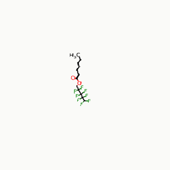 CCCCCCC(=O)OCC(F)(F)C(F)(F)C(F)(F)C(F)F